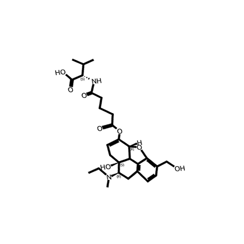 CCN(C)[C@@H]1Cc2ccc(CO)c3c2C2[C@@H](O3)C(OC(=O)CCCC(=O)N[C@H](C(=O)O)C(C)C)=CC[C@]21O